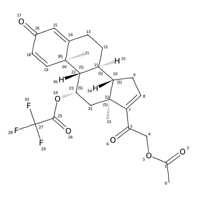 CC(=O)OCC(=O)C1=CC[C@H]2[C@@H]3CCC4=CC(=O)C=C[C@]4(C)[C@H]3[C@@H](OC(=O)C(F)(F)F)C[C@]12C